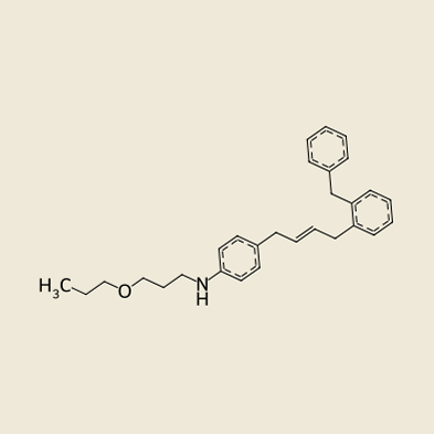 CCCOCCCNc1ccc(CC=CCc2ccccc2Cc2ccccc2)cc1